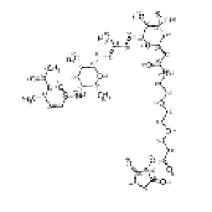 CC(=O)O[C@@H](C)/C=C\C(=O)N[C@@H]1C[C@H](C)[C@H](C/C=C(C)/C=C/[C@H]2O[C@H](CC(=O)NCCOCCOCCC(=O)ON3C(=O)CCC3=O)C[C@@]3(CO3)[C@@H]2O)O[C@@H]1C